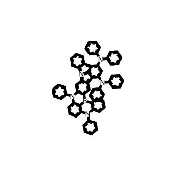 c1ccc(N2c3ccccc3B3c4cc5c6c(N(c7ccccc7)c7ccccc7)cc(N(c7ccccc7)c7ccccc7)c7c8ccccc8n(c5cc4N(c4ccccc4)c4cccc2c43)c76)cc1